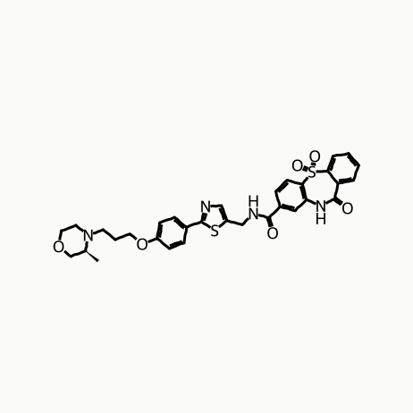 C[C@H]1COCCN1CCCOc1ccc(-c2ncc(CNC(=O)c3ccc4c(c3)NC(=O)c3ccccc3S4(=O)=O)s2)cc1